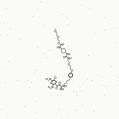 COCCOCCOC(=O)NC1CCC(NC(=O)NCCOCCOc2ccc(CCCCNC(=N)NC(=O)c3nc(Cl)c(N)nc3N)cc2)CC1